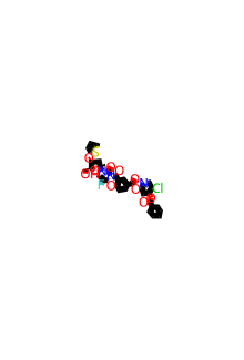 C[C@]1(n2cc(F)c(=O)n(C(=O)c3cccc(C(=O)Oc4cc(OC(=O)c5ccccc5)c(Cl)cn4)c3)c2=O)C[C@H](Oc2cccs2)[C@@H](CO)O1